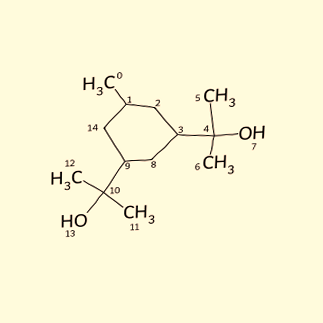 CC1CC(C(C)(C)O)CC(C(C)(C)O)C1